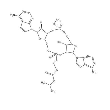 COP1(=O)OCC2OC(n3cnc4c(N)ncnc43)C(OP(=O)(SCOC(=O)OC(C)C)OCC3OC(n4cnc5c(N)ncnc54)[C@@H](F)C3O1)C2O